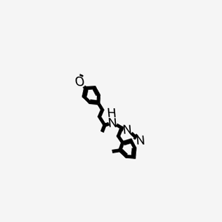 COc1ccc(CCC(C)N/C(Cc2ccccc2C)=N/C#N)cc1